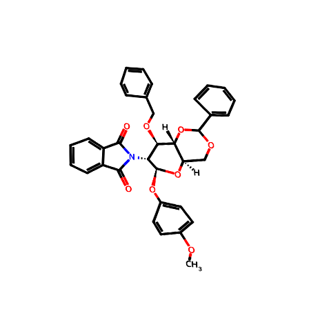 COc1ccc(O[C@@H]2O[C@@H]3COC(c4ccccc4)O[C@H]3[C@H](OCc3ccccc3)[C@H]2N2C(=O)c3ccccc3C2=O)cc1